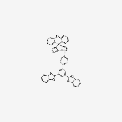 c1ccc2c(c1)Oc1ccccc1C21c2ccccc2-c2c(-c3ccc(-c4cc(-c5nc6ccccc6o5)cc(-c5nc6ccccc6o5)c4)cc3)cccc21